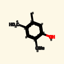 COc1cc(C(=O)O)c(C)cc1O